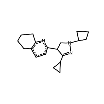 c1cc2c(nc1C1CN(C3CCC3)N=C1C1CC1)CCCC2